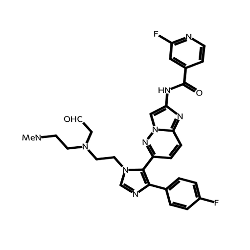 CNCCN(CC=O)CCn1cnc(-c2ccc(F)cc2)c1-c1ccc2nc(NC(=O)c3ccnc(F)c3)cn2n1